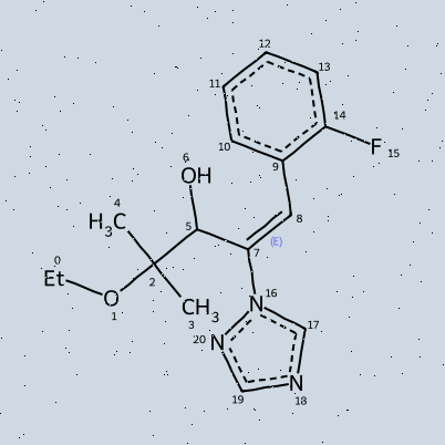 CCOC(C)(C)C(O)/C(=C\c1ccccc1F)n1cncn1